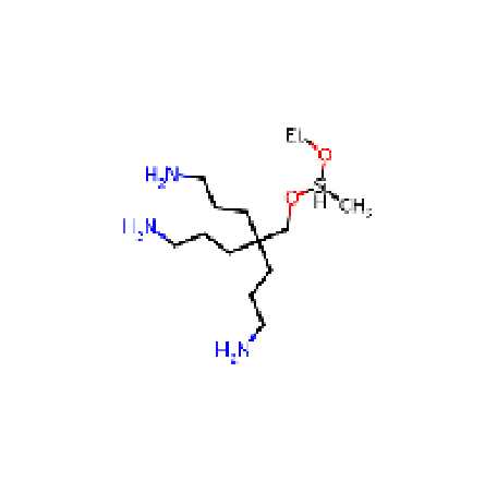 CCO[SiH](C)OCC(CCCN)(CCCN)CCCN